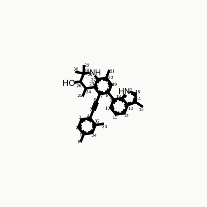 Cc1ccc(C#Cc2c(-c3cccc4c(C)c[nH]c34)cc(C)c3c2C(C)C(O)C(C)(C)N3)c(C)c1